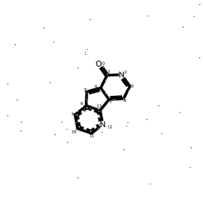 O=C1N=CC=C2C1=Cc1cccnc12